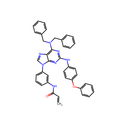 C=CC(=O)Nc1cccc(-n2cnc3c(N(Cc4ccccc4)Cc4ccccc4)nc(Nc4ccc(Oc5ccccc5)cc4)nc32)c1